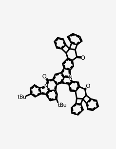 CC(C)(C)c1ccc2c(c1)c1cc(C(C)(C)C)cc3c4c(cc5c6cc7c(cc6n6c8cc9c(cc8c4c56)C4c5ccccc5C45c4ccccc4C5C9=O)C(=O)C4c5ccccc5C45c4ccccc4C75)c(=O)n2c13